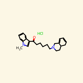 Cl.Cn1cc(C(=O)CCCCCN2CCC3CC=CC=C3C2)c2ccccc21